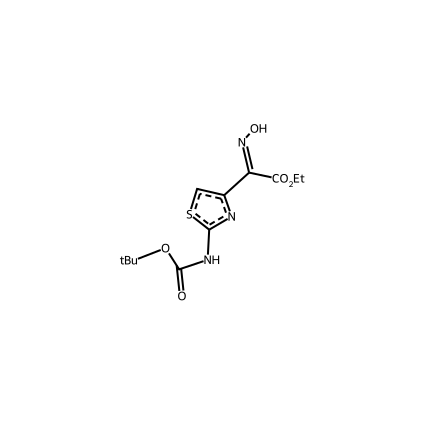 CCOC(=O)C(=NO)c1csc(NC(=O)OC(C)(C)C)n1